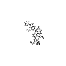 COC[C@@H]1[C@H](C(=O)O)[C@@H](C)CN1c1cccc(-c2cccc(C(F)(F)F)c2OCc2cc(C)c3c(c2)CCN(C2CCOCC2)C3)n1